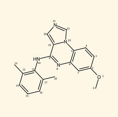 COc1ccc2c(c1)nc(Nc1c(C)cccc1C)c1cncn12